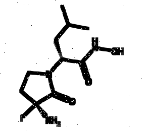 CC(C)C[C@H](C(=O)NO)N1CC[C@@](N)(I)C1=O